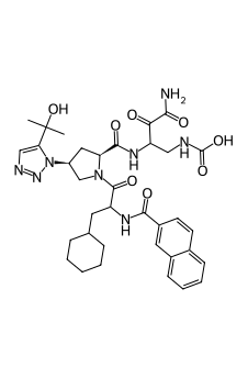 CC(C)(O)c1cnnn1[C@H]1C[C@@H](C(=O)NC(CNC(=O)O)C(=O)C(N)=O)N(C(=O)C(CC2CCCCC2)NC(=O)c2ccc3ccccc3c2)C1